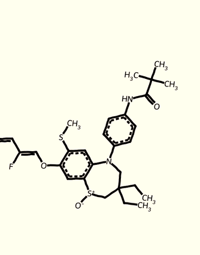 CCC1(CC)CN(c2ccc(NC(=O)C(C)(C)C)cc2)c2cc(SC)c(O/C=C(\F)C=O)cc2[S+]([O-])C1